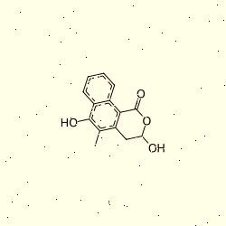 Cc1c2c(c3ccccc3c1O)C(=O)OC(O)C2